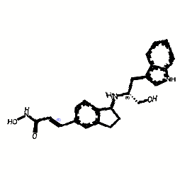 O=C(/C=C/c1ccc2c(c1)CCC2N[C@@H](CO)Cc1c[nH]c2ccccc12)NO